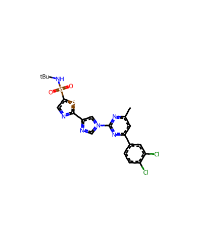 Cc1cc(-c2ccc(Cl)c(Cl)c2)nc(-n2cnc(-c3ncc(S(=O)(=O)NC(C)(C)C)s3)c2)n1